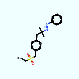 CC(C)(C)CS(=O)(=O)Cc1ccc(CC(C)(C)/N=N/c2ccccc2)cc1